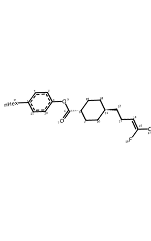 CCCCCCc1ccc(OC(=O)[C@H]2CC[C@H](CCC=C(F)C#N)CC2)cc1